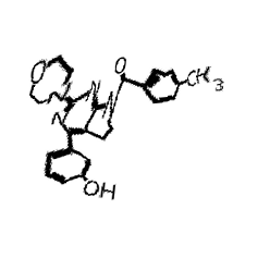 Cc1ccc(C(=O)N2CCc3c(-c4cccc(O)c4)nc(N4CCOCC4)nc32)cc1